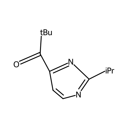 CC(C)c1nccc(C(=O)C(C)(C)C)n1